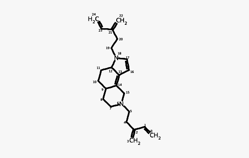 C=CC(=C)CCN1CCC2CCC3C(=C2C1)C=CN3CCC(=C)C=C